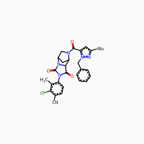 Cc1c(N2C(=O)C3C4CC(CN4C(=O)c4cc(C(C)(C)C)nn4Cc4ccccc4)N3C2=O)ccc(C#N)c1Cl